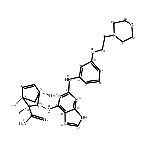 C[C@]1(C(N)=O)[C@H]2C=C[C@H](C2)[C@@H]1Nc1nc(Nc2cccc(OCCN3CCOCC3)c2)nc2[nH]cnc12